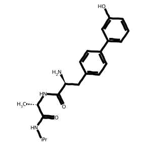 CC(C)NC(=O)[C@H](C)NC(=O)[C@@H](N)Cc1ccc(-c2cccc(O)c2)cc1